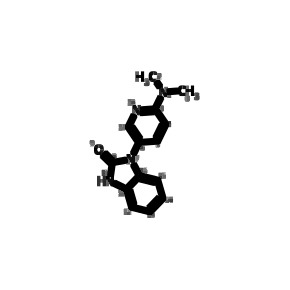 CN(C)c1ccc(-n2c(=O)[nH]c3ccccc32)cn1